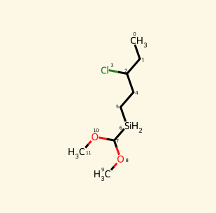 CCC(Cl)CC[SiH2]C(OC)OC